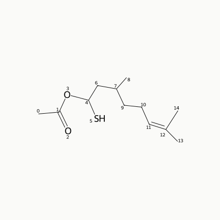 CC(=O)OC(S)CC(C)CCC=C(C)C